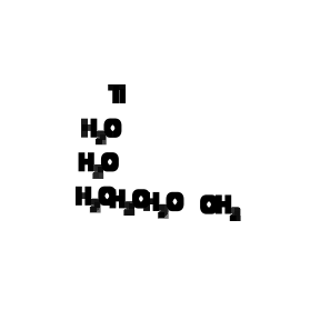 O.O.O.O.O.O.[Ti]